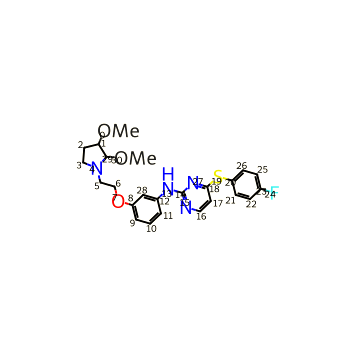 COC1CCN(CCOc2cccc(Nc3nccc(Sc4ccc(F)cc4)n3)c2)C1OC